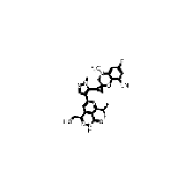 Cn1ncc(-c2cc3c(CO)n[nH]c(=O)c3c(C(F)F)n2)c1C1CC12CN(C(F)(F)F)c1cc(F)cc(C#N)c1O2